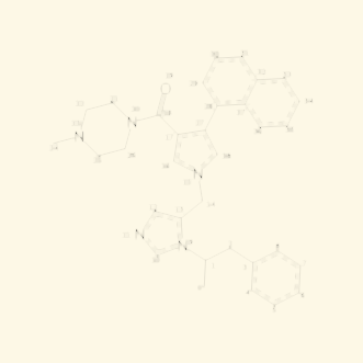 CC(Cc1ccccc1)n1cncc1Cn1cc(C(=O)N2CCN(C)CC2)c(-c2cccc3ccccc23)c1